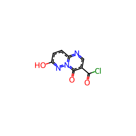 O=C(Cl)c1cnc2ccc(O)nn2c1=O